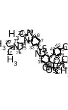 CC(=O)[C@@H](OC(C)(C)C)c1c(C)cc2nc(-c3ccc4nc(C)n([C@@H]5CCN(C(C)C)C5)c4c3)sc2c1-c1ccc(Cl)cc1